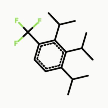 CC(C)c1ccc(C(F)(F)F)c(C(C)C)c1C(C)C